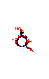 CO[C@@H]1C[C@H](C[C@@H](C)[C@@H]2CC(=O)[C@H](C)/C=C(\C)[C@@H](O)[C@@H](OC)C(=O)[C@H](C)C[C@H](C)/C=C/C=C/C=C(\C)[C@@H](OCCOCCOCCO)C[C@@H]3CC[C@@H](C)[C@@](O)(O3)C(=O)C(=O)N3CCCC[C@H]3C(=O)O2)CC[C@H]1OCCO